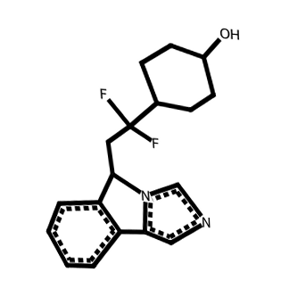 OC1CCC(C(F)(F)CC2c3ccccc3-c3cncn32)CC1